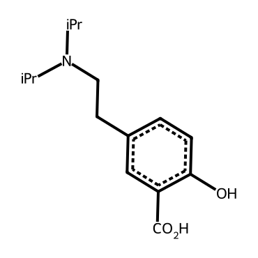 CC(C)N(CCc1ccc(O)c(C(=O)O)c1)C(C)C